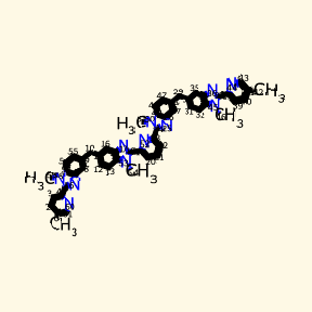 Cc1ccc(-c2nc3cc(Cc4ccc5c(c4)nc(-c4cccc(-c6nc7cc(Cc8ccc9c(c8)nc(-c8ccc(C)cn8)n9C)ccc7n6C)n4)n5C)ccc3n2C)nc1